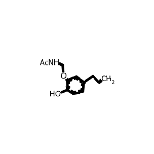 C=CCc1ccc(O)c(OCNC(C)=O)c1